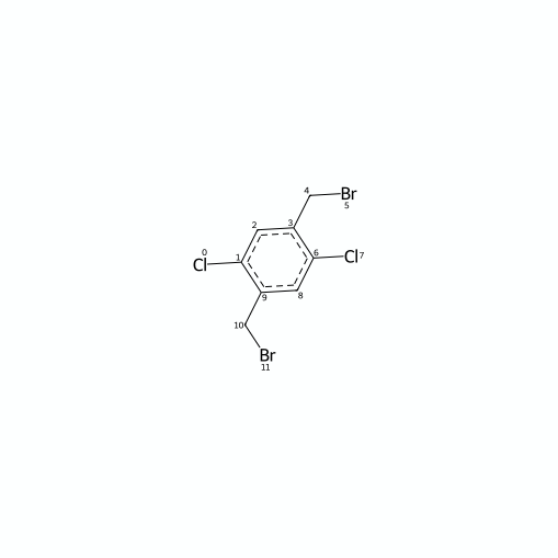 Clc1cc(CBr)c(Cl)cc1CBr